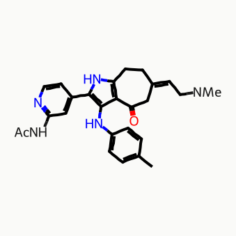 CNC/C=C1/CCc2[nH]c(-c3ccnc(NC(C)=O)c3)c(Nc3ccc(C)cc3)c2C(=O)C1